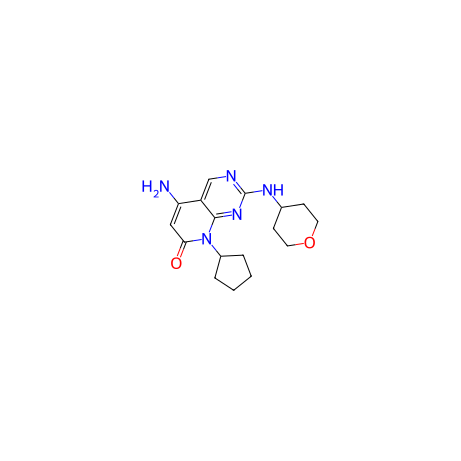 Nc1cc(=O)n(C2CCCC2)c2nc(NC3CCOCC3)ncc12